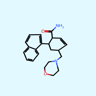 NC(=O)C1C=CC(CN2CCOCC2)CC1c1cccc2ccccc12